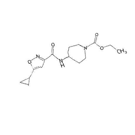 CCOC(=O)N1CCC(NC(=O)c2cc(C3CC3)on2)CC1